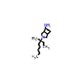 CCCCCC(C)(CC)N1CC2CC(N)C2C1